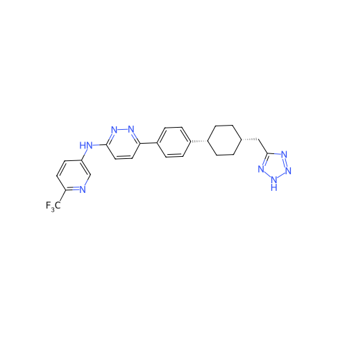 FC(F)(F)c1ccc(Nc2ccc(-c3ccc([C@H]4CC[C@@H](Cc5nn[nH]n5)CC4)cc3)nn2)cn1